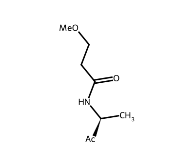 COCCC(=O)N[C@@H](C)C(C)=O